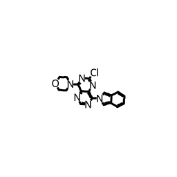 Clc1nc(N2CCOCC2)c2ncnc(-n3cc4ccccc4c3)c2n1